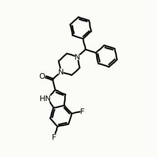 O=C(c1cc2c(F)cc(F)cc2[nH]1)N1CCN(C(c2ccccc2)c2ccccc2)CC1